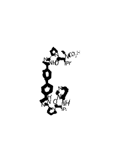 CC(C)[C@H](Nc1ccncn1)C(=O)N1CCC[C@H]1c1ncc(-c2ccc(-c3ccc(-c4cnc([C@@H]5CCCN5C(=O)[C@H](C(C)C)N(C)C(=O)O)[nH]4)cc3)cc2)[nH]1